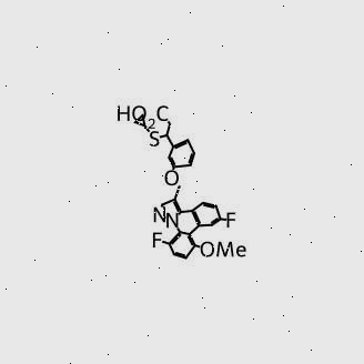 COc1ccc(F)c2c1c1cc(F)ccc1c1c(COc3cccc(C(CC(=O)O)SC4CC4)c3)cnn12